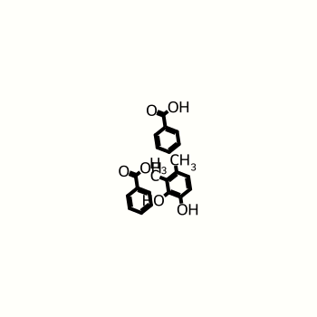 Cc1ccc(O)c(O)c1C.O=C(O)c1ccccc1.O=C(O)c1ccccc1